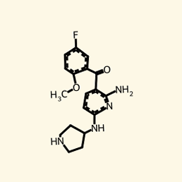 COc1ccc(F)cc1C(=O)c1ccc(NC2CCNCC2)nc1N